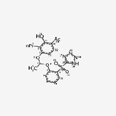 CCCc1c(OC(C)Oc2ccccc2S(=O)(=O)c2nnn[nH]2)ccc(C(C)=O)c1O